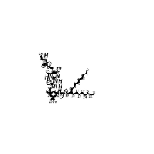 CCCCCCCCCC(CCCCCCCC)COC(=O)NC1CC(C)(C)CC(C)(CNC(=O)Nc2nc(=O)c(CCOC(=O)NCC)c(C)[nH]2)C1